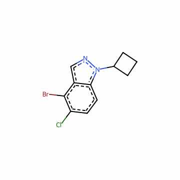 Clc1ccc2c(cnn2C2CCC2)c1Br